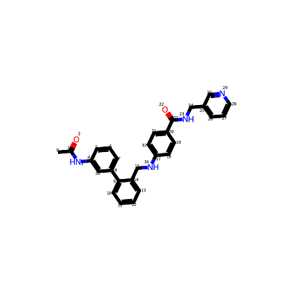 CC(=O)Nc1cccc(-c2ccccc2CNc2ccc(C(=O)NCc3cccnc3)cc2)c1